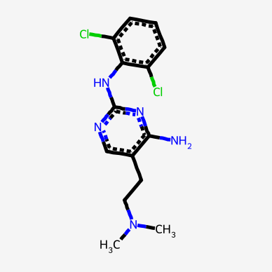 CN(C)CCc1cnc(Nc2c(Cl)cccc2Cl)nc1N